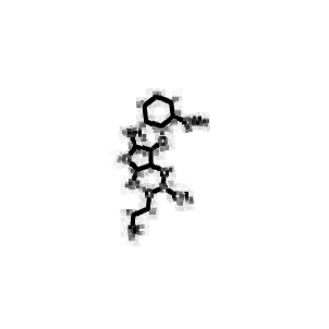 B[C@@H]1O[C@H](CC)C(OP(C)OCC[N+]#[C-])[C@@H]1O[C@@H]1CCCC[C@H]1OC